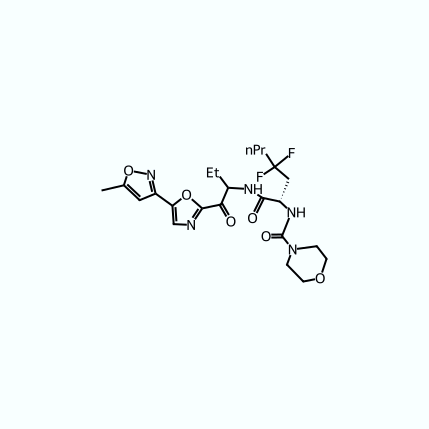 CCCC(F)(F)C[C@H](NC(=O)N1CCOCC1)C(=O)NC(CC)C(=O)c1ncc(-c2cc(C)on2)o1